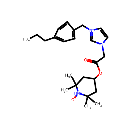 CCCc1ccc(C[n+]2ccn(CC(=O)OC3CC(C)(C)[NH+]([O-])C(C)(C)C3)c2)cc1